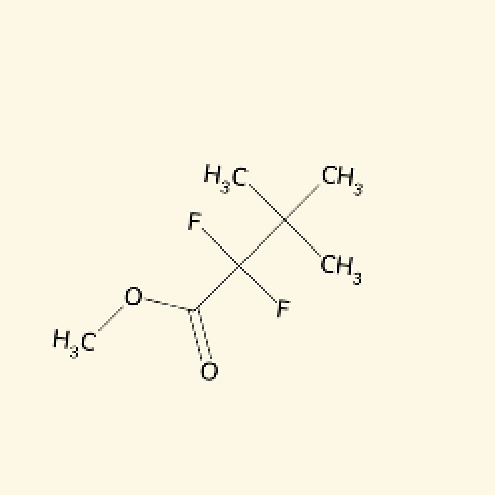 COC(=O)C(F)(F)C(C)(C)C